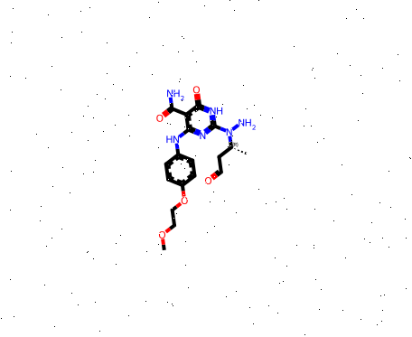 COCCOc1ccc(Nc2nc(N(N)[C@H](C)CC=O)[nH]c(=O)c2C(N)=O)cc1